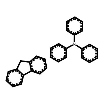 c1ccc(N(c2ccccc2)c2ccccc2)cc1.c1ccc2c(c1)Cc1ccccc1-2